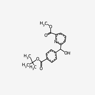 COC(=O)c1cccc(C(O)c2ccc(C(=O)OC(C)(C)C)cc2)n1